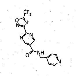 O=C(NCc1ccncc1)c1cnc(-c2noc(C(F)(F)F)n2)nc1